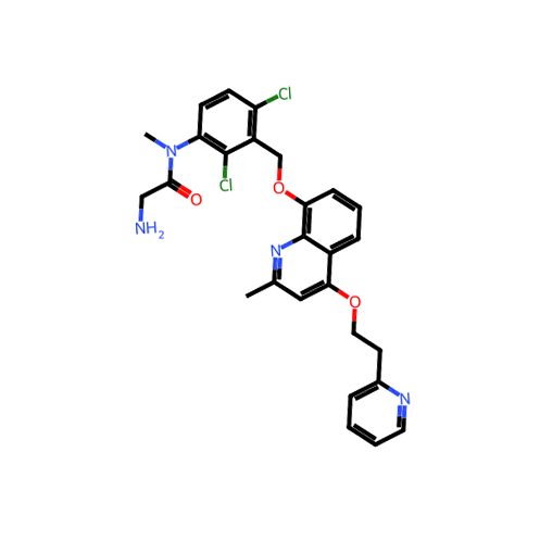 Cc1cc(OCCc2ccccn2)c2cccc(OCc3c(Cl)ccc(N(C)C(=O)CN)c3Cl)c2n1